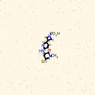 Cn1cc(Br)cc(Nc2ccc(C3CN(C(=O)O)C3)cn2)c1=O